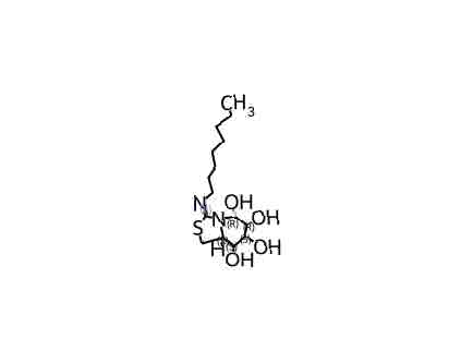 CCCCCCCC/N=C1/SC[C@@H]2[C@H](O)[C@H](O)[C@@H](O)[C@@H](O)N12